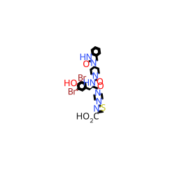 O=C(O)c1csc(N2CCN(C(=O)[C@@H](Cc3cc(Br)c(O)c(Br)c3)NC(=O)N3CCC(N4Cc5ccccc5NC4=O)CC3)CC2)n1